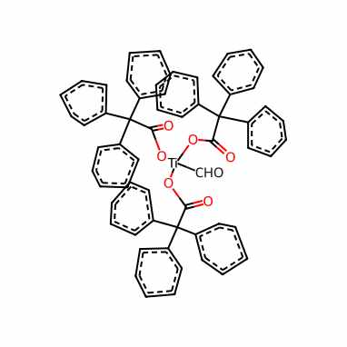 O=[CH][Ti]([O]C(=O)C(c1ccccc1)(c1ccccc1)c1ccccc1)([O]C(=O)C(c1ccccc1)(c1ccccc1)c1ccccc1)[O]C(=O)C(c1ccccc1)(c1ccccc1)c1ccccc1